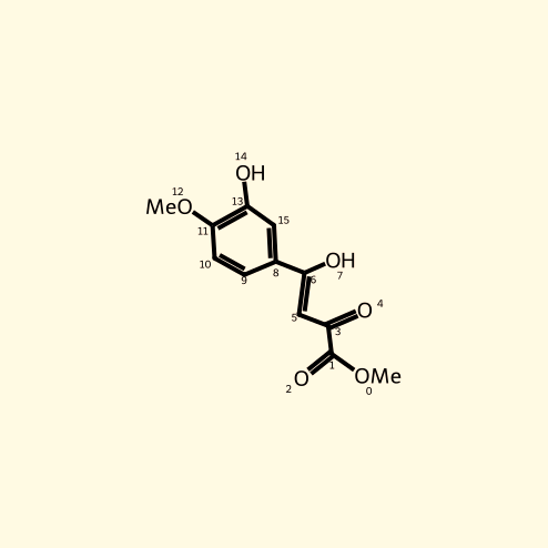 COC(=O)C(=O)C=C(O)c1ccc(OC)c(O)c1